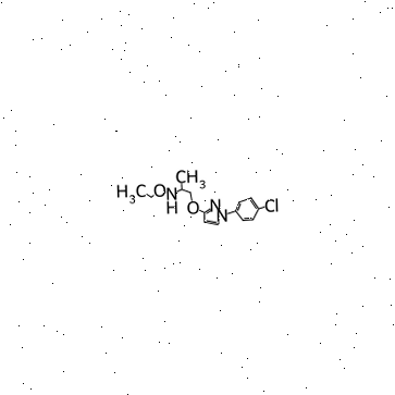 CCONC(C)COc1ccn(-c2ccc(Cl)cc2)n1